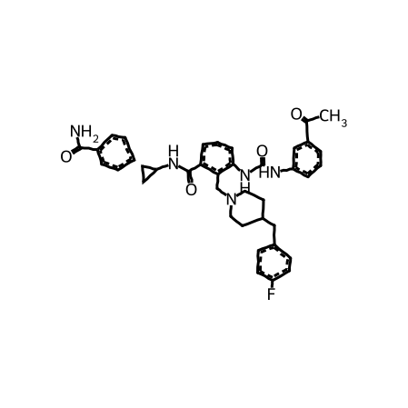 CC(=O)c1cccc(NC(=O)Nc2cccc(C(=O)NC3CC3)c2CN2CCC(Cc3ccc(F)cc3)CC2)c1.NC(=O)c1ccccc1